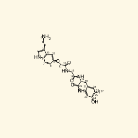 NCCc1c[nH]c2ccc(OCC(=O)NCC(=O)N[C@@H](Cc3ccc(O)c([125I])c3)C(N)=O)cc12